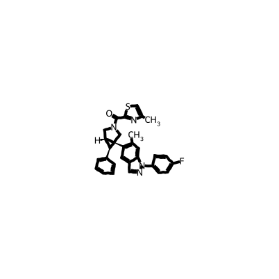 Cc1csc(C(=O)N2C[C@H]3[C@H](c4ccccc4)[C@@]3(c3cc4cnn(-c5ccc(F)cc5)c4cc3C)C2)n1